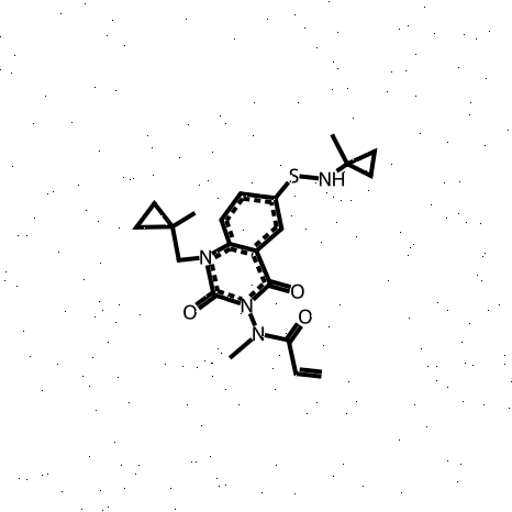 C=CC(=O)N(C)n1c(=O)c2cc(SNC3(C)CC3)ccc2n(CC2(C)CC2)c1=O